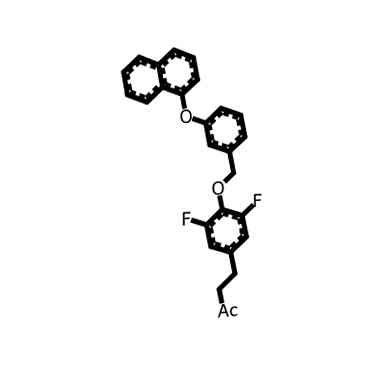 CC(=O)CCc1cc(F)c(OCc2cccc(Oc3cccc4ccccc34)c2)c(F)c1